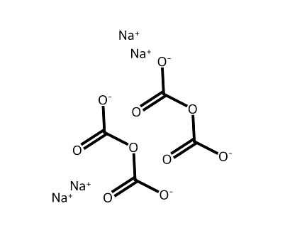 O=C([O-])OC(=O)[O-].O=C([O-])OC(=O)[O-].[Na+].[Na+].[Na+].[Na+]